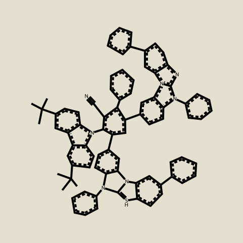 CC(C)(C)c1ccc2c(c1)c1cc(C(C)(C)C)ccc1n2-c1c(-c2ccc3c(c2)N2C(=[SH]c4ccc(-c5ccccc5)cc42)N3c2ccccc2)cc(-c2ccc3c(c2)n2c4cc(-c5ccccc5)ccc4nc2n3-c2ccccc2)c(-c2ccccc2)c1C#N